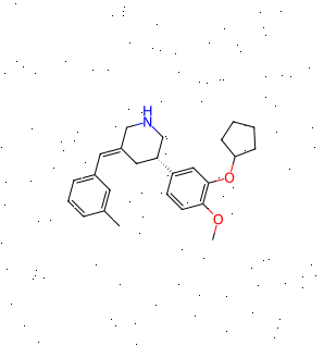 COc1ccc([C@H]2CNC/C(=C/c3cccc(C)c3)C2)cc1OC1CCCC1